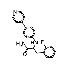 NC(=O)C(Cc1ccccc1F)Nc1ccc(-c2ccncc2)cc1